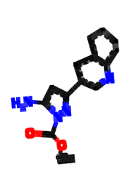 CC(C)(C)OC(=O)n1nc(-c2cnc3ccccc3c2)cc1N